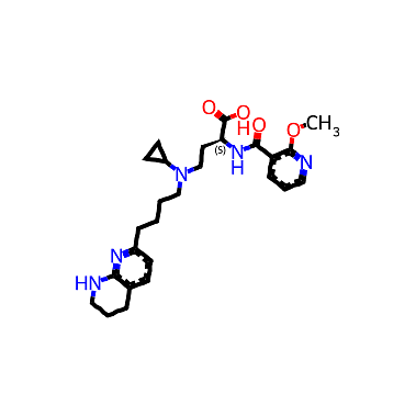 COc1ncccc1C(=O)N[C@@H](CCN(CCCCc1ccc2c(n1)NCCC2)C1CC1)C(=O)O